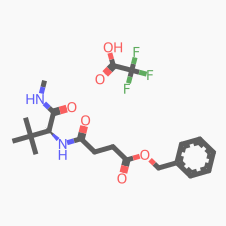 CNC(=O)[C@@H](NC(=O)CCC(=O)OCc1ccccc1)C(C)(C)C.O=C(O)C(F)(F)F